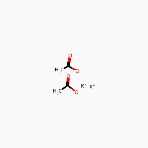 CC(=O)[O-].CC(=O)[O-].[K+].[K+]